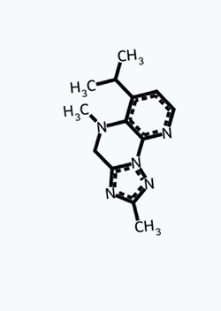 Cc1nc2n(n1)-c1nccc(C(C)C)c1N(C)C2